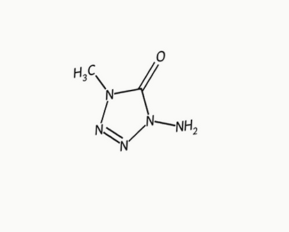 Cn1nnn(N)c1=O